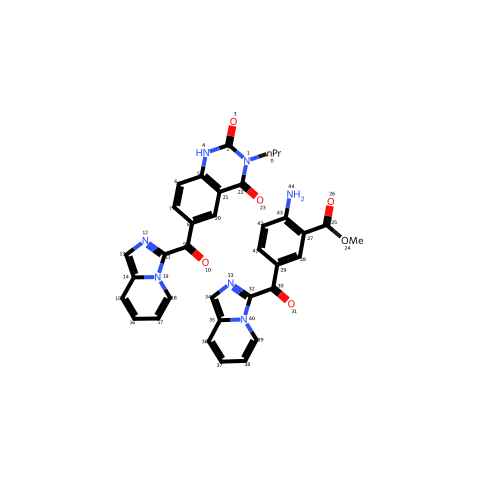 CCCn1c(=O)[nH]c2ccc(C(=O)c3ncc4ccccn34)cc2c1=O.COC(=O)c1cc(C(=O)c2ncc3ccccn23)ccc1N